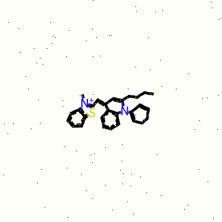 CCCCC1=C/C(=C/c2sc3ccccc3[n+]2C)c2ccccc2N1C1=CCCC=C1